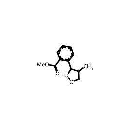 COC(=O)c1ccccc1C1OOCC1C